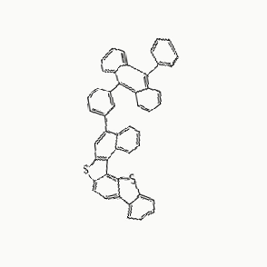 c1ccc(-c2c3ccccc3c(-c3cccc(-c4cc5sc6ccc7c8ccccc8sc7c6c5c5ccccc45)c3)c3ccccc23)cc1